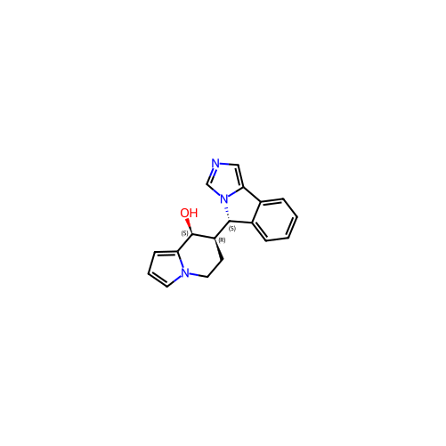 O[C@@H]1c2cccn2CC[C@@H]1[C@H]1c2ccccc2-c2cncn21